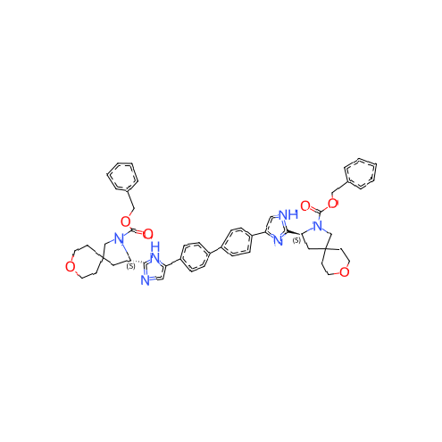 O=C(OCc1ccccc1)N1CC2(CCOCC2)C[C@H]1c1nc(-c2ccc(-c3ccc(-c4cnc([C@@H]5CC6(CCOCC6)CN5C(=O)OCc5ccccc5)[nH]4)cc3)cc2)c[nH]1